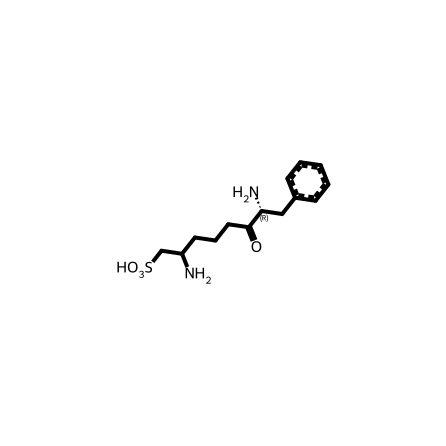 NC(CCCC(=O)[C@H](N)Cc1ccccc1)CS(=O)(=O)O